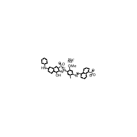 COc1cc(N=Nc2cccc3c(S(=O)(=O)[O-])cccc23)c(C)cc1N=Nc1c(S(=O)(=O)[O-])cc2cc(Nc3ccccc3)ccc2c1O.[Na+].[Na+]